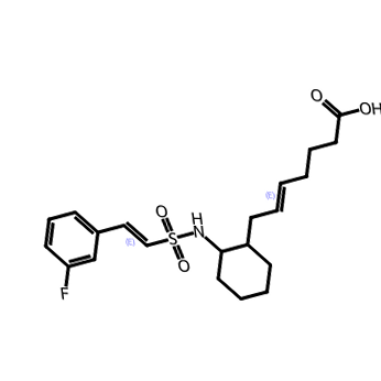 O=C(O)CCC/C=C/CC1CCCCC1NS(=O)(=O)/C=C/c1cccc(F)c1